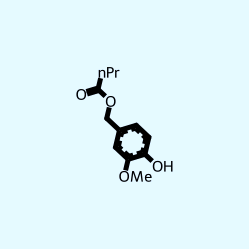 CCCC(=O)OCc1ccc(O)c(OC)c1